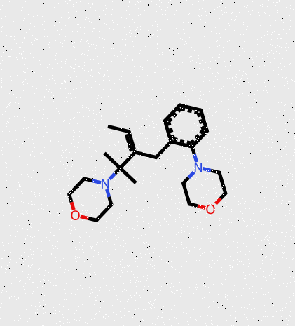 CC=C(Cc1ccccc1N1CCOCC1)C(C)(C)N1CCOCC1